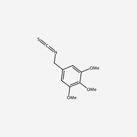 COc1cc(CN=C=S)cc(OC)c1OC